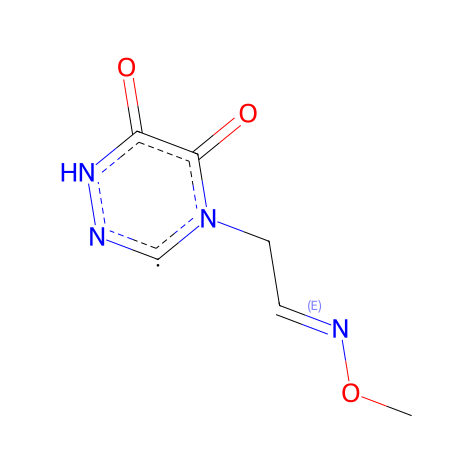 CO/N=C/Cn1[c]n[nH]c(=O)c1=O